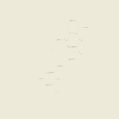 C#CC(=O)Nc1cccc(C)c1Nc1ncc(OCc2c(Cl)c(OC)cc(OC)c2Cl)cn1